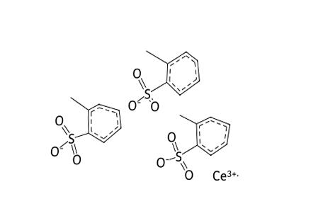 Cc1ccccc1S(=O)(=O)[O-].Cc1ccccc1S(=O)(=O)[O-].Cc1ccccc1S(=O)(=O)[O-].[Ce+3]